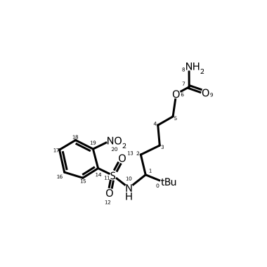 CC(C)(C)C(CCCCOC(N)=O)NS(=O)(=O)c1ccccc1[N+](=O)[O-]